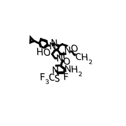 C=CC(=O)N1CCc2nn(-c3ccc(C4CC4)cc3O)c3c2[C@H](C1)N(C(=O)c1cnc(SC(F)(F)F)c(F)c1N)CC3